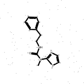 CN(C(=O)NCCc1ccccc1)c1nccs1